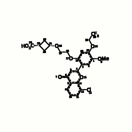 COc1cc(-c2cc(=O)c3cccc(Cl)c3o2)c(OCCO[C@H]2C[C@@H](C(=O)O)C2)cc1OCC(F)(F)F